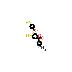 Cc1ccc(-c2c3ccc(S)c(SC(=O)c4ccc(S)cc4)cc-3oc2=O)cc1